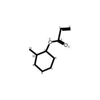 C=CC(=O)OC1CCCCC1C